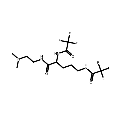 CN(C)CCNC(=O)C(CCCNC(=O)C(F)(F)F)NC(=O)C(F)(F)F